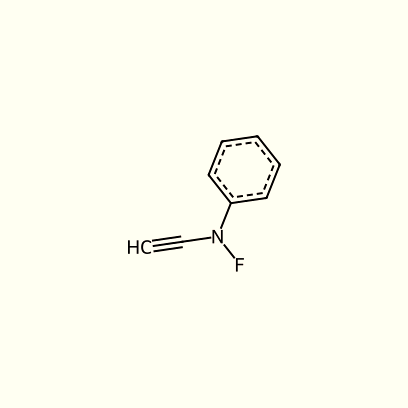 C#CN(F)c1ccccc1